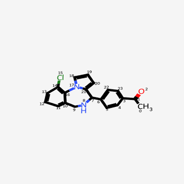 CC(=O)c1ccc(C2NCc3cccc(Cl)c3-n3cccc32)cc1